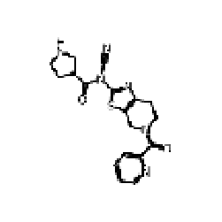 N#CN(C(=O)[C@H]1CCNC1)c1nc2c(s1)CN(C(=O)c1ccccn1)CC2